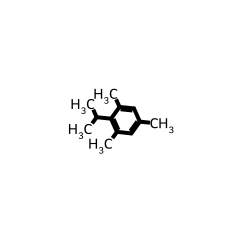 Cc1cc(C)c(C(C)C)c(C)c1